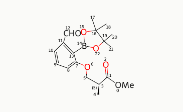 COC(=O)[C@@H](C)COc1cccc(C=O)c1B1OC(C)(C)C(C)(C)O1